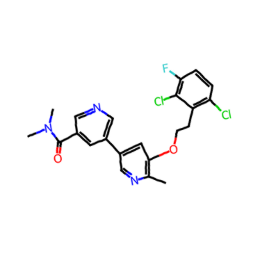 Cc1ncc(-c2cncc(C(=O)N(C)C)c2)cc1OCCc1c(Cl)ccc(F)c1Cl